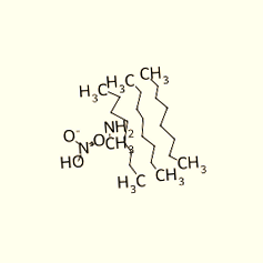 CCCCCCCC.CCCCCCCC.CCCCCCCC.CN.O=[N+]([O-])O